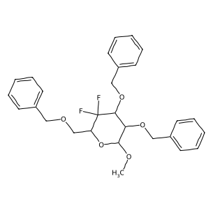 COC1OC(COCc2ccccc2)C(F)(F)C(OCc2ccccc2)C1OCc1ccccc1